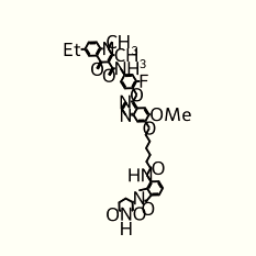 CCc1ccc2c(c1)c(=O)c(C(=O)Nc1ccc(Oc3ncnc4cc(OCCCCCC(=O)Nc5cccc6c5CN(C5CCC(=O)NC5=O)C6=O)c(OC)cc34)c(F)c1)c(C)n2C